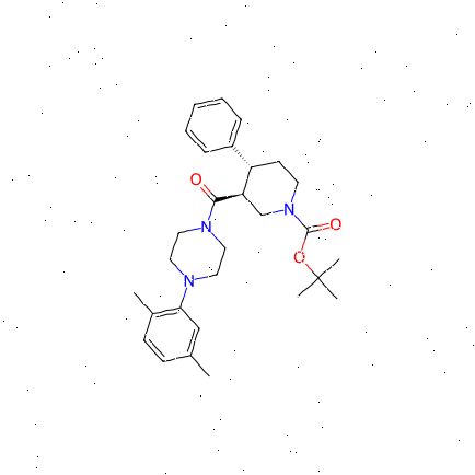 Cc1ccc(C)c(N2CCN(C(=O)[C@@H]3CN(C(=O)OC(C)(C)C)CC[C@H]3c3ccccc3)CC2)c1